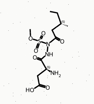 CC[C@H](C)CC(=O)N(NC(=O)[C@@H](N)CC(=O)O)S(=O)(=O)OC